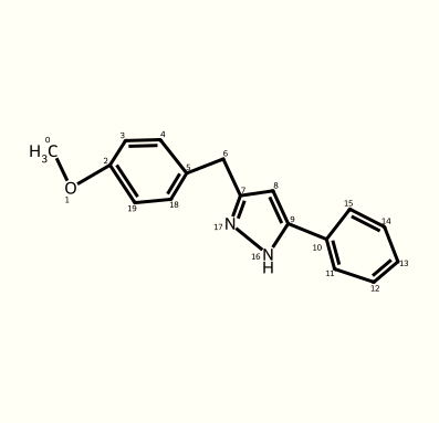 COc1ccc(Cc2cc(-c3ccccc3)[nH]n2)cc1